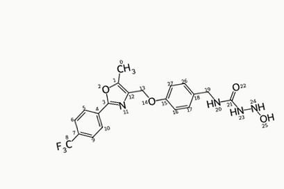 Cc1oc(-c2ccc(C(F)(F)F)cc2)nc1COc1ccc(CNC(=O)NNO)cc1